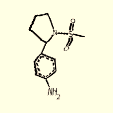 CS(=O)(=O)N1CCCC1c1ccc(N)cc1